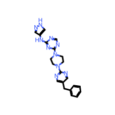 c1ccc(Cc2cnc(N3CCN(c4ncnc(Nc5cn[nH]c5)n4)CC3)nc2)cc1